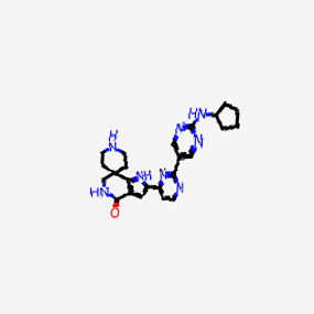 O=C1NCC2(CCNCC2)c2[nH]c(-c3ccnc(-c4cnc(NC5CCCC5)nc4)n3)cc21